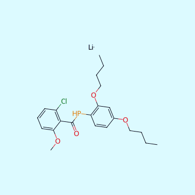 CCCCOc1ccc(PC(=O)c2c(Cl)cccc2OC)c(OCCCC)c1.[Li]